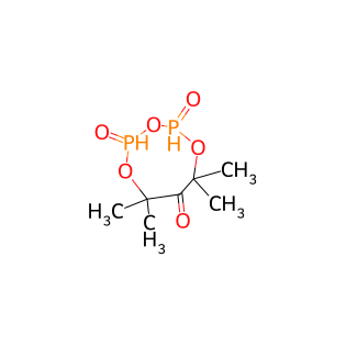 CC1(C)O[PH](=O)O[PH](=O)OC(C)(C)C1=O